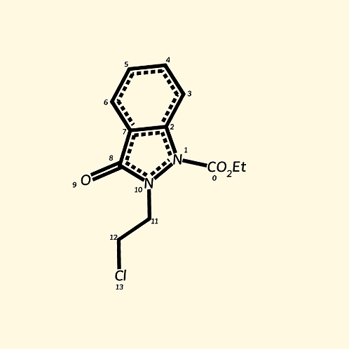 CCOC(=O)n1c2ccccc2c(=O)n1CCCl